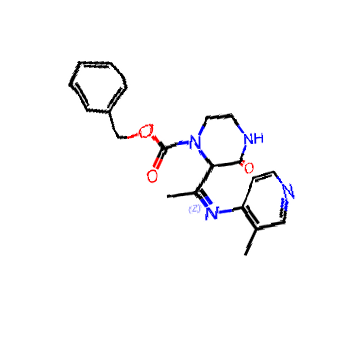 C/C(=N/c1ccncc1C)C1C(=O)NCCN1C(=O)OCc1ccccc1